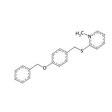 C[n+]1ccccc1SCc1ccc(OCc2ccccc2)cc1